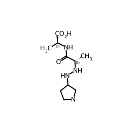 C[C@H](NC(=O)[C@H](C)NNC1CC[N]C1)C(=O)O